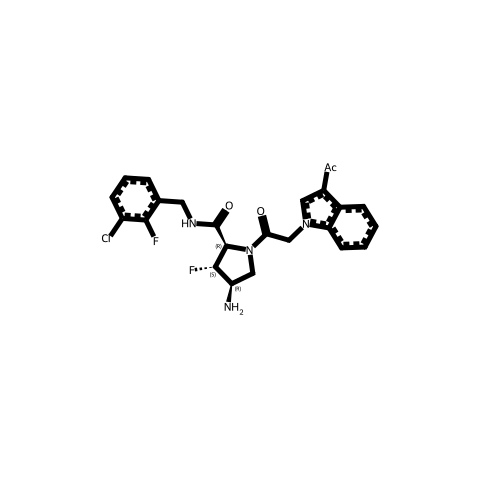 CC(=O)c1cn(CC(=O)N2C[C@@H](N)[C@H](F)[C@H]2C(=O)NCc2cccc(Cl)c2F)c2ccccc12